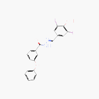 O=C(NN=Cc1cc(I)c(O)c(I)c1)c1cccc(Oc2ccccc2)c1